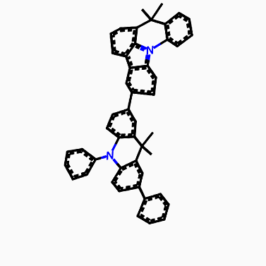 CC1(C)c2cc(-c3ccccc3)ccc2N(c2ccccc2)c2ccc(-c3ccc4c(c3)c3cccc5c3n4-c3ccccc3C5(C)C)cc21